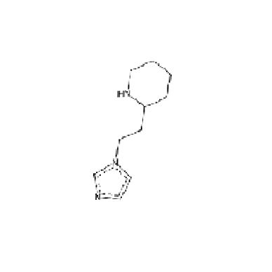 c1cn(CCC2CCCCN2)cn1